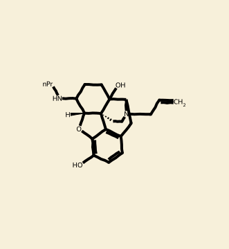 C=CCN1CC[C@]23c4c5ccc(O)c4O[C@@H]2C(NCCC)CCC3(O)C1C5